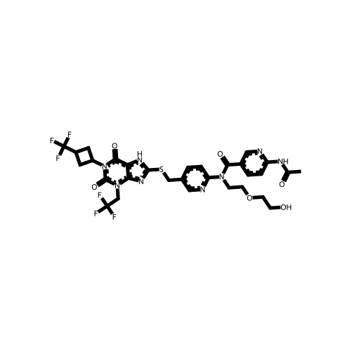 CC(=O)Nc1ccc(C(=O)N(CCOCCO)c2ccc(CSc3nc4c([nH]3)c(=O)n(C3CC(C(F)(F)F)C3)c(=O)n4CC(F)(F)F)cn2)cn1